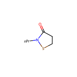 CCCN1SCCC1=O